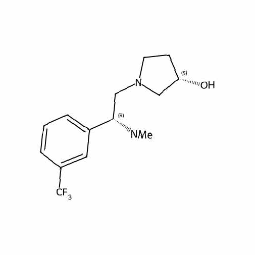 CN[C@@H](CN1CC[C@H](O)C1)c1cccc(C(F)(F)F)c1